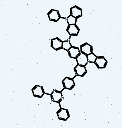 c1ccc(-c2nc(-c3ccccc3)nc(-c3ccc(-c4ccc(-n5c6ccccc6c6ccccc65)c(-c5ccc6c(c5)c5ccccc5n6-c5ccc6c7ccccc7n(-c7ccccc7)c6c5)c4)cc3)n2)cc1